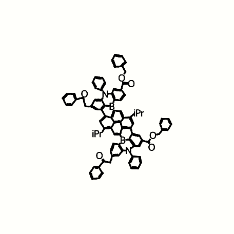 CC(C)c1cc2c3c(cc4c(C(C)C)cc5c6c(cc1c3c46)B1c3ccc(CC(=O)c4ccccc4)cc3N(c3ccccc3)c3cc(C(=O)OCc4ccccc4)cc-5c31)B1c3ccc(C(=O)OCc4ccccc4)cc3N(c3ccccc3)c3cc(CC(=O)c4ccccc4)cc-2c31